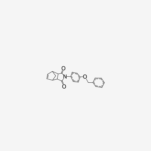 O=C1C2C3C=CC(C3)C2C(=O)N1c1ccc(OCc2ccccc2)cc1